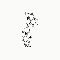 O=[N+]([O-])c1ccc(N2CCC(Cc3cccc4ccc(F)nc34)CC2)c(Cl)c1